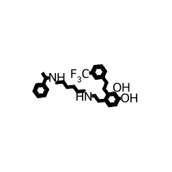 CC(NCCCCCCNCCc1ccc(O)c(O)c1CCc1cccc(C(F)(F)F)c1)c1ccccc1